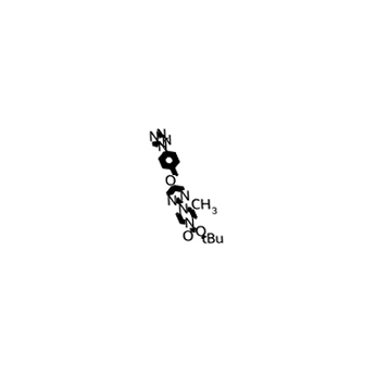 CC1CN(C(=O)OC(C)(C)C)CCN1c1ncc(OCc2ccc(-n3cnnn3)cc2)cn1